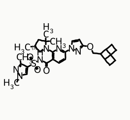 Cc1nn(C)cc1S(=O)(=O)NC(=O)c1ccc(-n2ccc(OCC3C4CCC45CCC35)n2)nc1N1C[C@@H](C)CC1(C)C